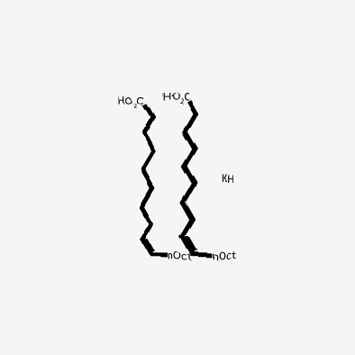 CCCCCCCC/C=C\CCCCCCCC(=O)O.CCCCCCCC/C=C\CCCCCCCC(=O)O.[KH]